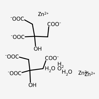 O.O.O.O=C([O-])CC(O)(CC(=O)[O-])C(=O)[O-].O=C([O-])CC(O)(CC(=O)[O-])C(=O)[O-].[Zn+2].[Zn+2].[Zn+2]